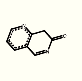 O=C1Cc2ncccc2C=N1